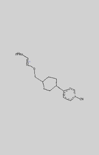 CCCCCC/C=C/OCC1CCC(c2ccc(C#N)cc2)CC1